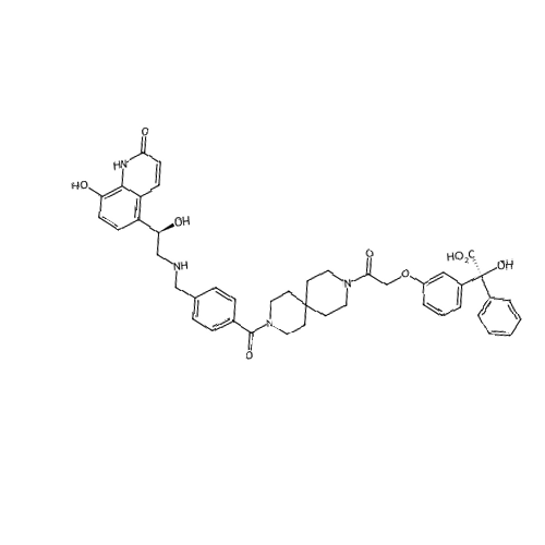 O=C(COc1cccc([C@](O)(C(=O)O)c2ccccc2)c1)N1CCC2(CC1)CCN(C(=O)c1ccc(CNC[C@H](O)c3ccc(O)c4[nH]c(=O)ccc34)cc1)CC2